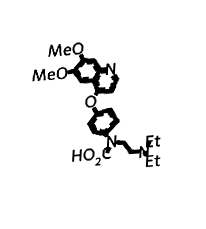 CCN(CC)CCN(C(=O)O)c1ccc(Oc2ccnc3cc(OC)c(OC)cc23)cc1